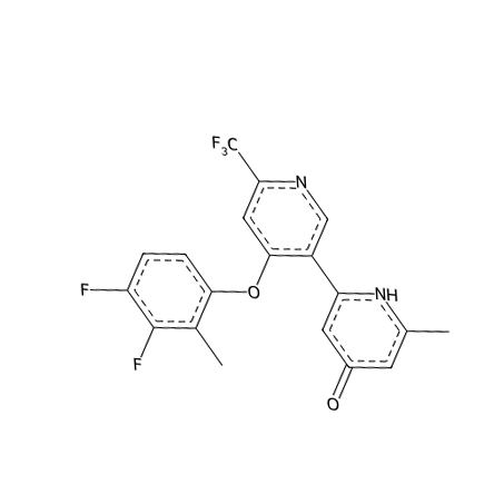 Cc1cc(=O)cc(-c2cnc(C(F)(F)F)cc2Oc2ccc(F)c(F)c2C)[nH]1